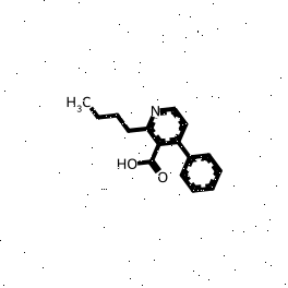 CCCCc1nccc(-c2ccccc2)c1C(=O)O